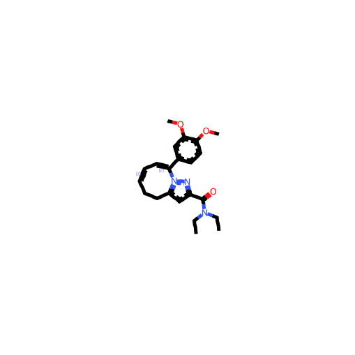 CCN(CC)C(=O)c1cc2n(n1)/C(c1ccc(OC)c(OC)c1)=C\C=C/CC2